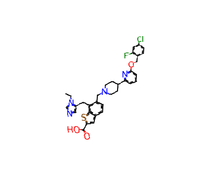 CCn1cncc1Cc1c(CN2CCC(c3cccc(OCc4ccc(Cl)cc4F)n3)CC2)ccc2cc(C(=O)O)sc12